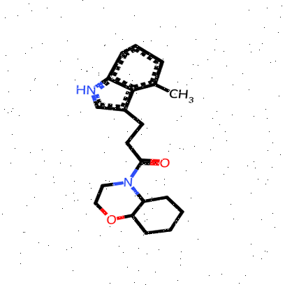 Cc1cccc2[nH]cc(CCC(=O)N3CCOC4CCCCC43)c12